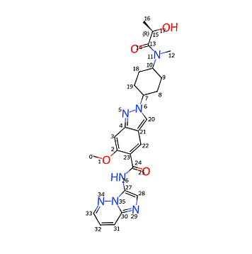 COc1cc2nn(C3CCC(N(C)C(=O)[C@@H](C)O)CC3)cc2cc1C(=O)Nc1cnc2cccnn12